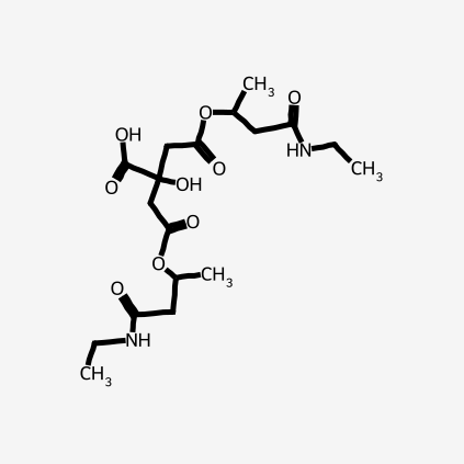 CCNC(=O)CC(C)OC(=O)CC(O)(CC(=O)OC(C)CC(=O)NCC)C(=O)O